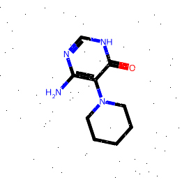 Nc1nc[nH]c(=O)c1N1CCCCC1